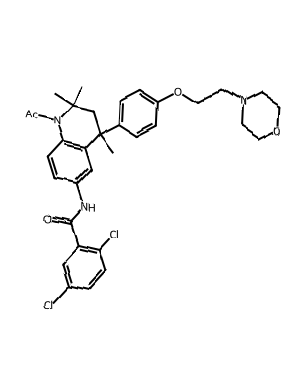 CC(=O)N1c2ccc(NC(=O)c3cc(Cl)ccc3Cl)cc2C(C)(c2ccc(OCCN3CCOCC3)cc2)CC1(C)C